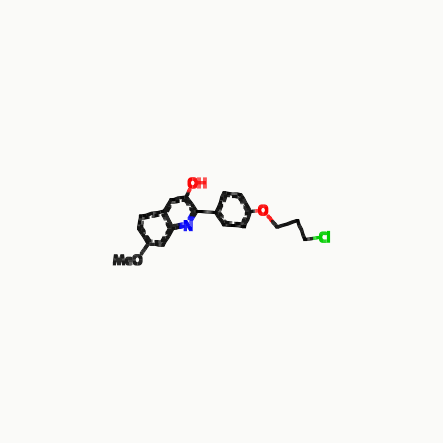 COc1ccc2cc(O)c(-c3ccc(OCCCCl)cc3)nc2c1